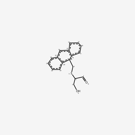 O=CC(CO)SCc1c2ccccc2cc2ccccc12